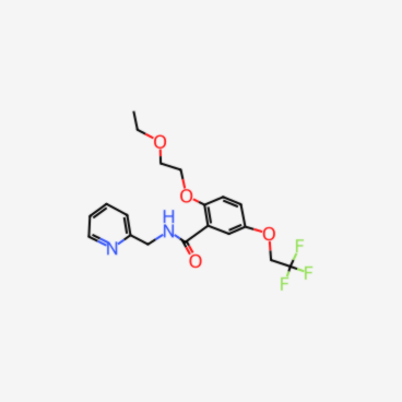 CCOCCOc1ccc(OCC(F)(F)F)cc1C(=O)NCc1ccccn1